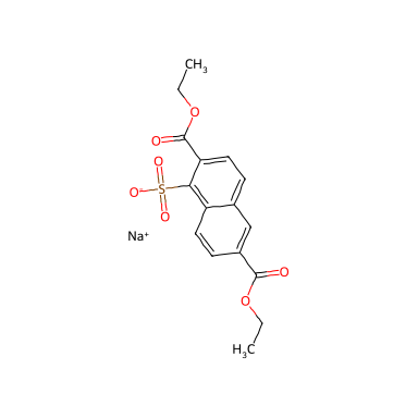 CCOC(=O)c1ccc2c(S(=O)(=O)[O-])c(C(=O)OCC)ccc2c1.[Na+]